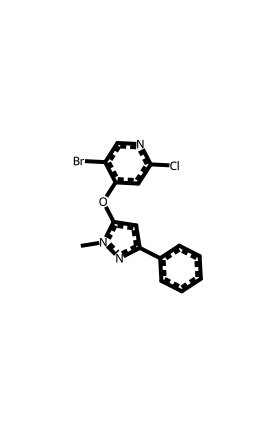 Cn1nc(-c2ccccc2)cc1Oc1cc(Cl)ncc1Br